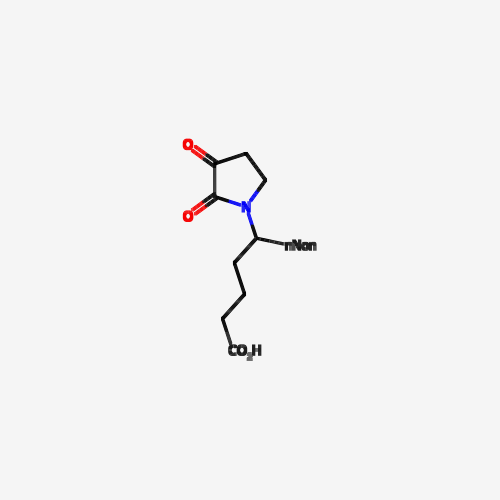 CCCCCCCCCC(CCCC(=O)O)N1CCC(=O)C1=O